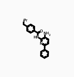 CC(C)Cc1ccc(C(=O)Nc2nc(-c3ccccc3)ccc2N)cc1